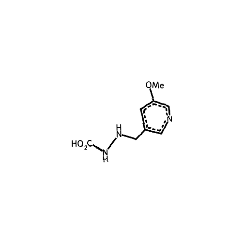 COc1cncc(CNNC(=O)O)c1